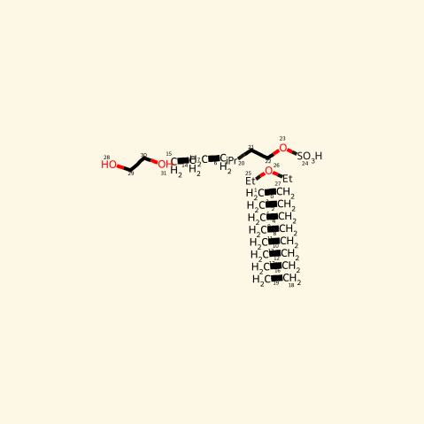 C=C.C=C.C=C.C=C.C=C.C=C.C=C.C=C.C=C.C=C.CC(C)CCOS(=O)(=O)O.CCOCC.OCCO